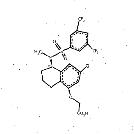 CN([C@@H]1CCCc2c(OCC(=O)O)cc(Cl)cc21)S(=O)(=O)c1cc(C(F)(F)F)cc(C(F)(F)F)c1